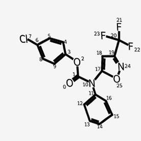 O=C(Oc1ccc(Cl)cc1)N(c1ccccc1)c1cc(C(F)(F)F)no1